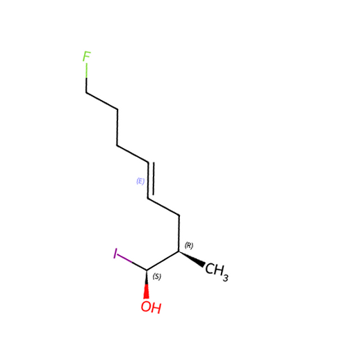 C[C@H](C/C=C/CCCF)[C@@H](O)I